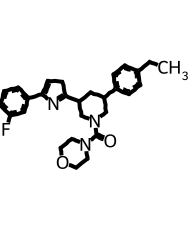 CCc1ccc(C2CC(C3=NC(c4cccc(F)c4)=CC3)CN(C(=O)N3CCOCC3)C2)cc1